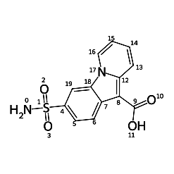 NS(=O)(=O)c1ccc2c(C(=O)O)c3ccccn3c2c1